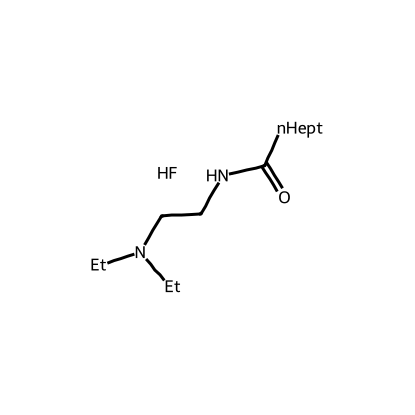 CCCCCCCC(=O)NCCN(CC)CC.F